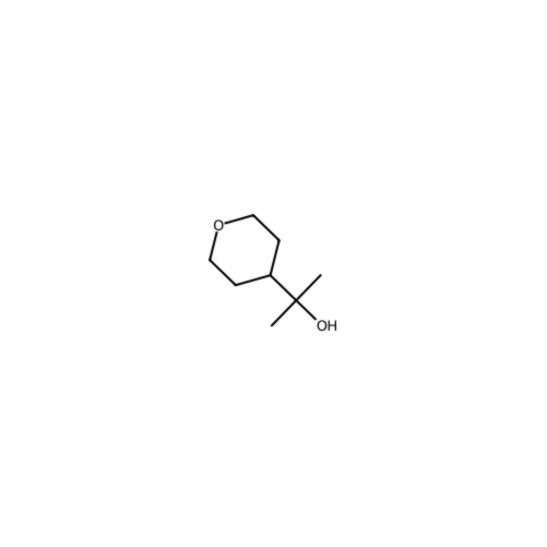 CC(C)(O)C1CCOCC1